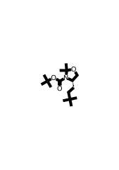 CC(C)(C)CC[C@H]1COC(C)(C)N1C(=O)OC(C)(C)C